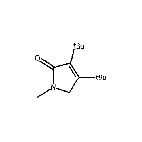 CN1CC(C(C)(C)C)=C(C(C)(C)C)C1=O